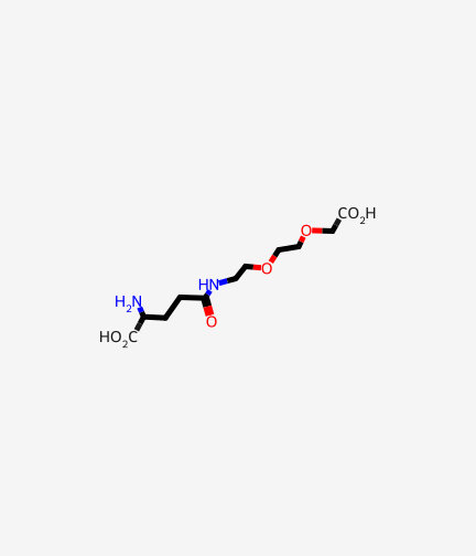 NC(CCC(=O)NCCOCCOCC(=O)O)C(=O)O